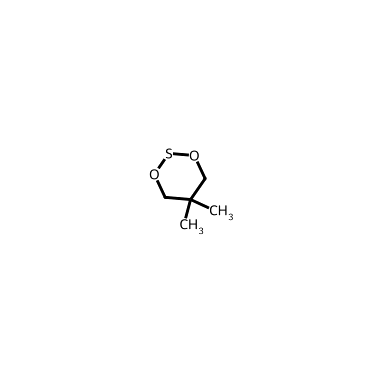 CC1(C)COSOC1